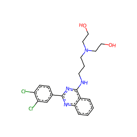 OCCN(CCO)CCCNc1nc(-c2ccc(Cl)c(Cl)c2)nc2ccccc12